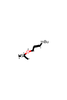 CCCCC=CCO[SiH](C)C